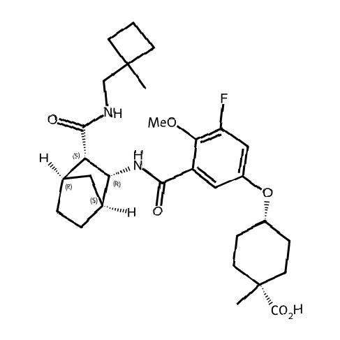 COc1c(F)cc(O[C@H]2CC[C@@](C)(C(=O)O)CC2)cc1C(=O)N[C@@H]1[C@H]2CC[C@H](C2)[C@@H]1C(=O)NCC1(C)CCC1